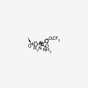 CC#CC(=O)N1CCC(n2nc(-c3ccc(OCC(F)(F)F)cc3)c(C(N)=O)c2N)CC1